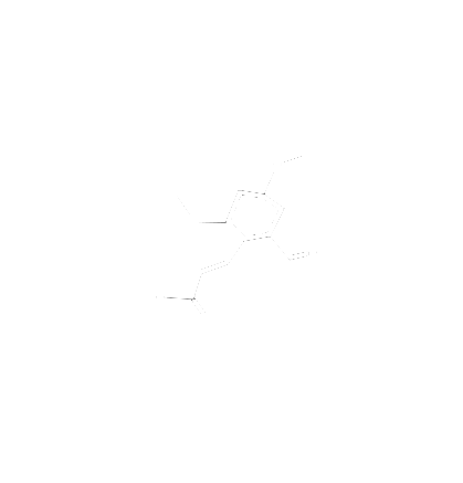 COc1cc(C=O)c(C=CC(=O)O)c(OC)c1